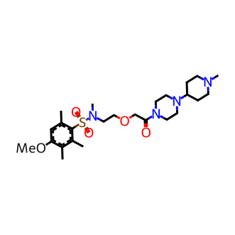 COc1cc(C)c(S(=O)(=O)N(C)CCOCC(=O)N2CCN(C3CCN(C)CC3)CC2)c(C)c1C